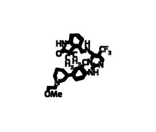 COCCN1CCCC(c2ccc(Nc3ncc(C(F)(F)F)c(NCc4cccc5c4C(C)(C)C(=O)N5)n3)c(C)c2)C1